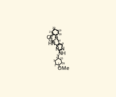 COC1CCC(CNc2ncc3c(n2)NC(=O)N(c2ccccc2Cl)C3)CC1